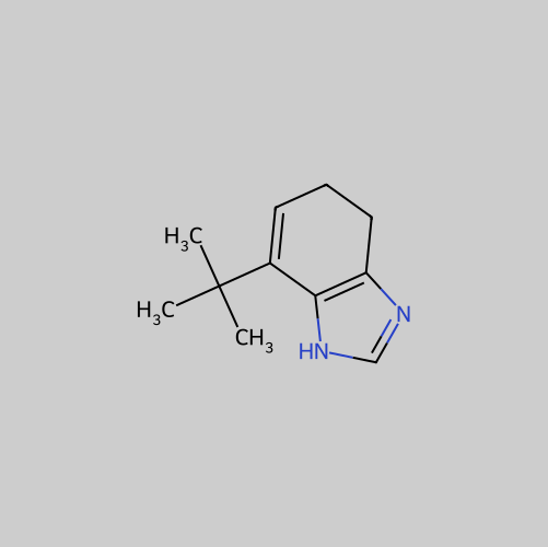 CC(C)(C)C1=CCCc2nc[nH]c21